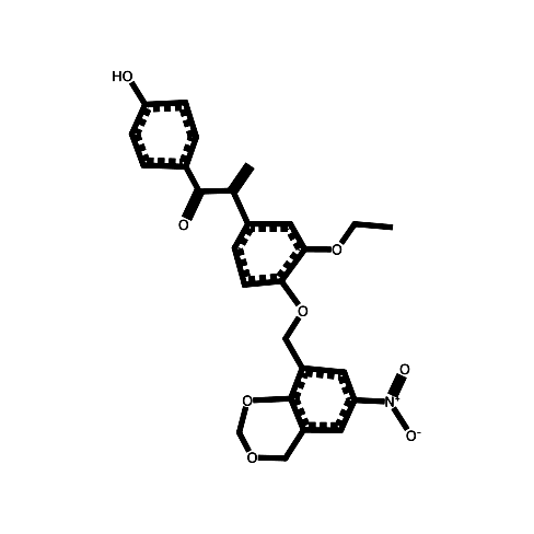 C=C(C(=O)c1ccc(O)cc1)c1ccc(OCc2cc([N+](=O)[O-])cc3c2OCOC3)c(OCC)c1